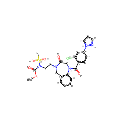 CC(C)(C)OC(=O)N(CCN1Cc2ccccc2N(C(=O)c2ccc(-n3cccn3)cc2Cl)CC1=O)S(C)(=O)=O